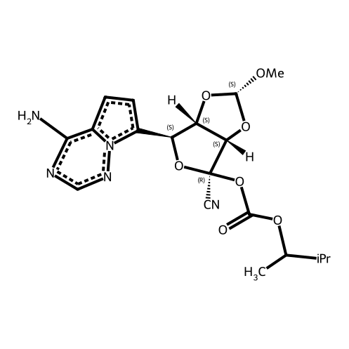 CO[C@H]1O[C@H]2[C@H](c3ccc4c(N)ncnn34)O[C@](C#N)(OC(=O)OC(C)C(C)C)[C@H]2O1